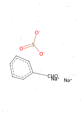 O=Cc1ccccc1.O=S([O-])[O-].[Na+].[Na+]